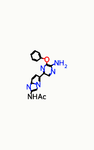 CC(=O)Nc1cn2cc(-c3cnc(N)c(Oc4ccccc4)n3)ccc2n1